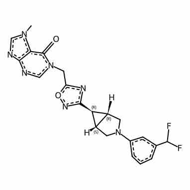 Cn1cnc2ncn(Cc3nc([C@H]4[C@@H]5CN(c6cccc(C(F)F)c6)C[C@@H]54)no3)c(=O)c21